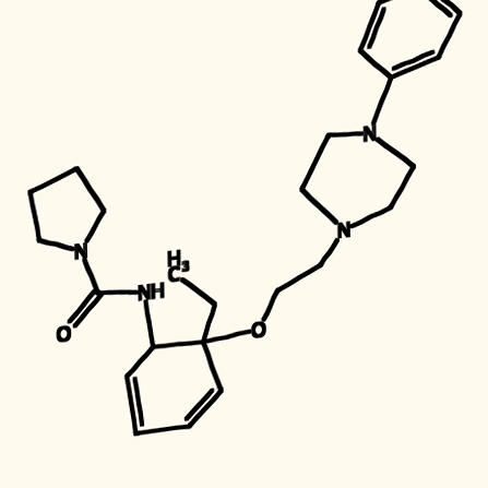 CCC1(OCCN2CCN(c3ccccc3)CC2)C=CC=CC1NC(=O)N1CCCC1